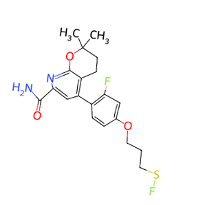 CC1(C)CCc2c(-c3ccc(OCCCSF)cc3F)cc(C(N)=O)nc2O1